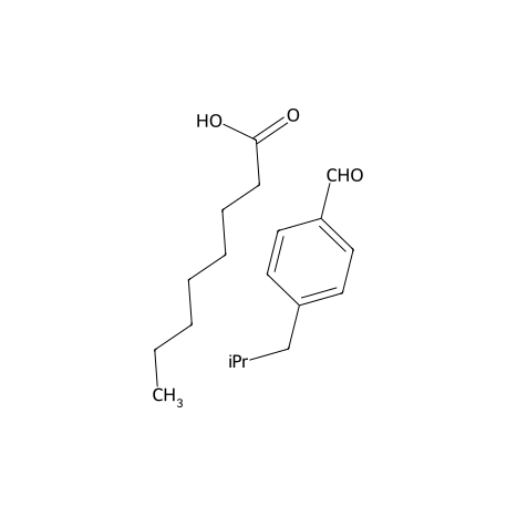 CC(C)Cc1ccc(C=O)cc1.CCCCCCCC(=O)O